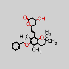 Cc1c(/C=C/C2CC(O)CC(=O)O2)c2c(c(C)c1OCc1ccccc1)CCC(C)(C)O2